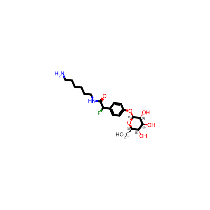 NCCCCCCNC(=O)C(F)c1ccc(O[C@@H]2O[C@H](C(=O)O)[C@@H](O)[C@H](O)[C@H]2O)cc1